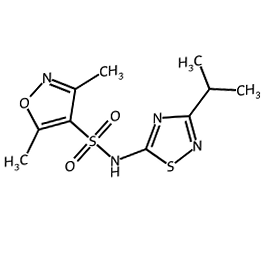 Cc1noc(C)c1S(=O)(=O)Nc1nc(C(C)C)ns1